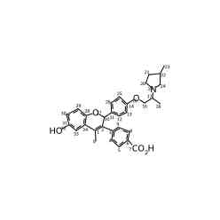 CC1=C(c2ccc(C(=O)O)cc2)C(c2ccc(OCC(C)N3CCC(C)C3)cc2)Oc2ccc(O)cc21